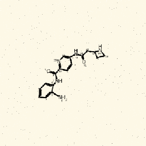 Nc1ccccc1NC(=O)c1ccc(NC(=O)CC2CCN2)cn1